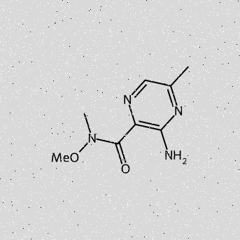 CON(C)C(=O)c1ncc(C)nc1N